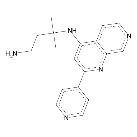 CC(C)(CCN)Nc1cc(-c2ccncc2)nc2cnccc12